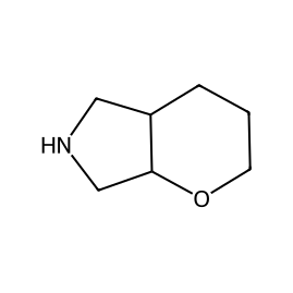 C1COC2CNCC2C1